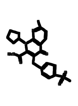 COC(=O)c1c(Cc2ccc(S(C)(=O)=O)cc2)c(=O)c2ccc(C)nc2n1C1CCCC1